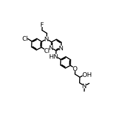 CN(C)CC(O)COc1ccc(Nc2nccc(N(CCF)c3cc(Cl)ccc3Cl)n2)cc1